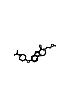 COCCN1CCn2c(cc3cc(OC4CCN(C(C)C)CC4)ccc32)C1=O